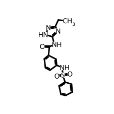 CCc1n[nH]c(NC(=O)c2cccc(NS(=O)(=O)c3ccccc3)c2)n1